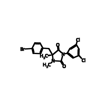 CN1C(=O)N(c2cc(Cl)cc(Cl)c2)C(=O)[C@@]1(C)Cc1ccc(Br)cc1